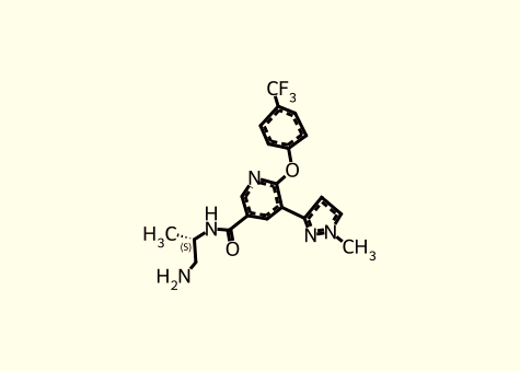 C[C@@H](CN)NC(=O)c1cnc(Oc2ccc(C(F)(F)F)cc2)c(-c2ccn(C)n2)c1